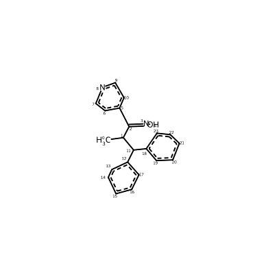 CC(/C(=N\O)c1ccncc1)C(c1ccccc1)c1ccccc1